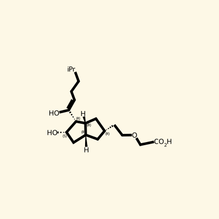 CC(C)CCC=C(O)[C@@H]1[C@@H]2C[C@H](CCOCC(=O)O)C[C@@H]2C[C@@H]1O